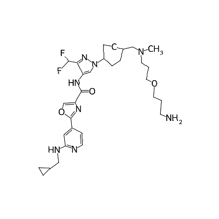 CN(CCCOCCCN)CC1CCC(n2cc(NC(=O)c3coc(-c4ccnc(NCC5CC5)c4)n3)c(C(F)F)n2)CC1